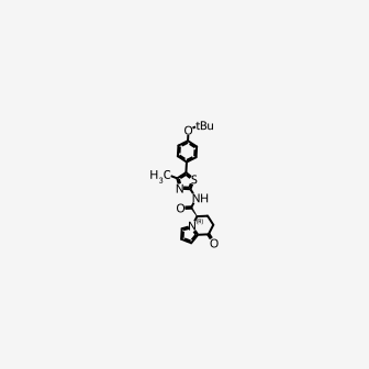 Cc1nc(NC(=O)[C@H]2CCC(=O)c3cccn32)sc1-c1ccc(OC(C)(C)C)cc1